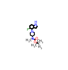 CN(C(=O)OC(C)(C)C)C1CCN(c2c(F)ccc3[nH]ccc23)CC1